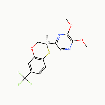 COc1ncc([C@]2(C)COc3cc(C(F)(F)F)ccc3S2)nc1OC